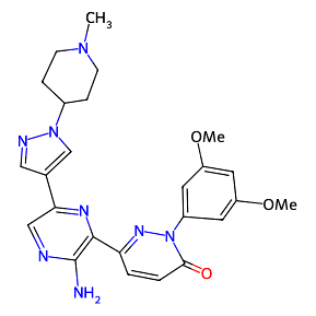 COc1cc(OC)cc(-n2nc(-c3nc(-c4cnn(C5CCN(C)CC5)c4)cnc3N)ccc2=O)c1